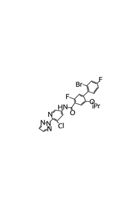 CC(C)Oc1cc(C(=O)Nc2cnc(-n3nccn3)c(Cl)c2)c(F)cc1-c1ccc(F)cc1Br